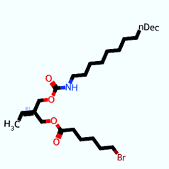 C/C=C(\COC(=O)CCCCCBr)COC(=O)NCCCCCCCCCCCCCCCCCC